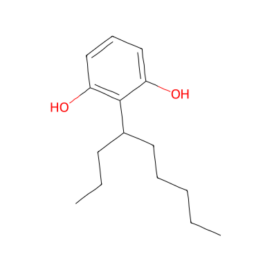 CCCCCC(CCC)c1c(O)cccc1O